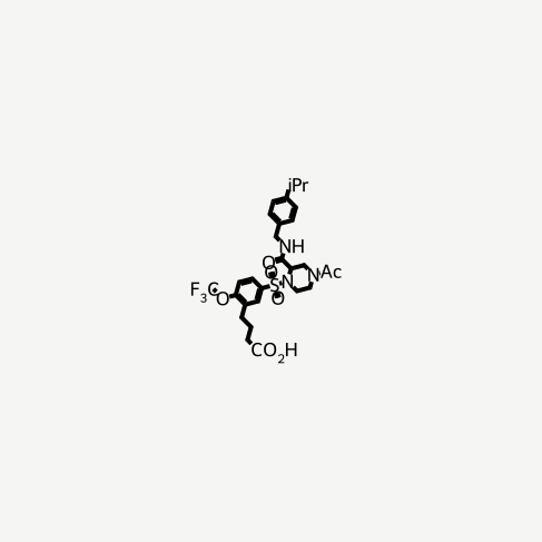 CC(=O)N1CCN(S(=O)(=O)c2ccc(OC(F)(F)F)c(CCCC(=O)O)c2)C(C(=O)NCc2ccc(C(C)C)cc2)C1